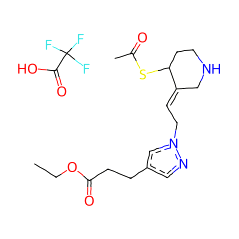 CCOC(=O)CCc1cnn(C/C=C2\CNCCC2SC(C)=O)c1.O=C(O)C(F)(F)F